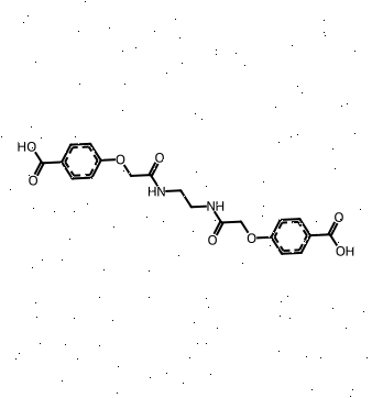 O=C(COc1ccc(C(=O)O)cc1)NCCNC(=O)COc1ccc(C(=O)O)cc1